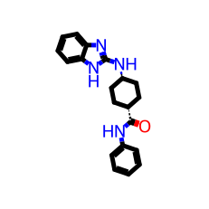 O=C(Nc1ccccc1)[C@H]1CC[C@@H](Nc2nc3ccccc3[nH]2)CC1